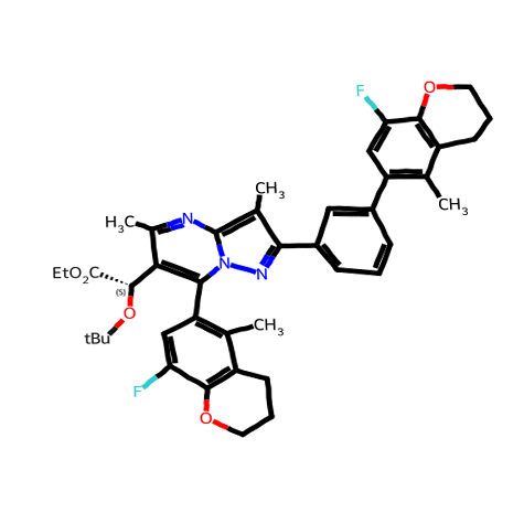 CCOC(=O)[C@@H](OC(C)(C)C)c1c(C)nc2c(C)c(-c3cccc(-c4cc(F)c5c(c4C)CCCO5)c3)nn2c1-c1cc(F)c2c(c1C)CCCO2